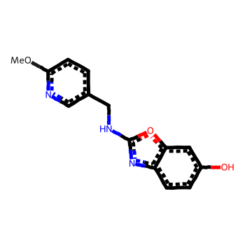 COc1ccc(CNc2nc3ccc(O)cc3o2)cn1